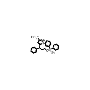 CC(C)(C)[Si](OCCC(c1ccccc1)c1cc(C(=O)O)[nH]n1)(c1ccccc1)c1ccccc1